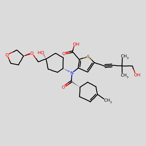 CC1=CC[C@H](C(=O)N(c2cc(C#CC(C)(C)CO)sc2C(=O)O)[C@H]2CC[C@](O)(CO[C@H]3CCOC3)CC2)CC1